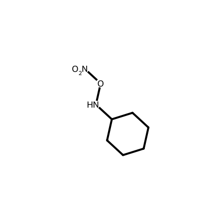 O=[N+]([O-])ONC1CCCCC1